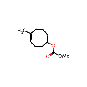 COC(=O)OC1CCC=C(C)CCC1